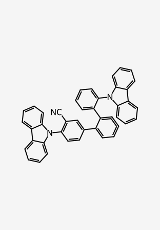 N#Cc1cc(C2=CC=C=C=C2c2ccccc2-n2c3ccccc3c3ccccc32)ccc1-n1c2ccccc2c2ccccc21